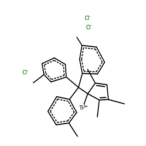 CC1=CC(C)=C(C)[C]1([Ti+3])C(c1cccc(C)c1)(c1cccc(C)c1)c1cccc(C)c1.[Cl-].[Cl-].[Cl-]